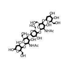 CC(=O)N[C@H]1[C@H](OC2[C@H](O)CC(O)O[C@@H]2CO)O[C@H](CO)C(O[C@H]2C[C@@H](O)C(O[C@@H]3O[C@H](CO)C(O[C@H]4C[C@@H](O)[C@H](O)[C@@H](CO)O4)[C@H](O)[C@H]3NC(C)=O)[C@@H](CO)O2)[C@@H]1O